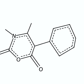 Cc1c(-c2ccccc2)c(=O)oc(=O)n1C